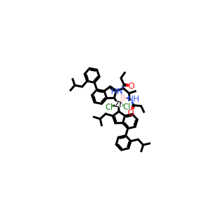 CCC(=O)N[B](NC(=O)CC)[Zr]([Cl])([Cl])([CH]1C(CC(C)C)=Cc2c(-c3ccccc3CC(C)C)cccc21)[CH]1C(CC(C)C)=Cc2c(-c3ccccc3CC(C)C)cccc21